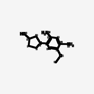 COc1nc(N2CCC(O)C2)c(N)cc1N